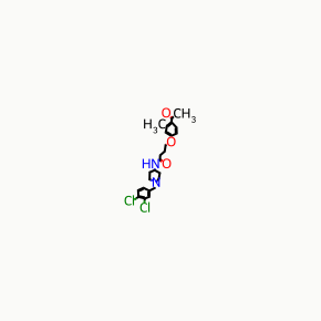 CC(=O)c1ccc(OCCCC(=O)NC2CCN(Cc3ccc(Cl)c(Cl)c3)CC2)cc1C